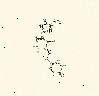 Fc1c(OCc2ccc(Cl)cc2)[c]ccc1-c1noc(C(F)(F)F)n1